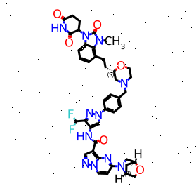 Cn1c(=O)n(C2CCC(=O)NC2=O)c2cccc(CC[C@H]3CN(Cc4ccc(-n5cc(NC(=O)c6cnn7ccc(N8C[C@H]9C[C@@H]8CO9)nc67)c(C(F)F)n5)cc4)CCO3)c21